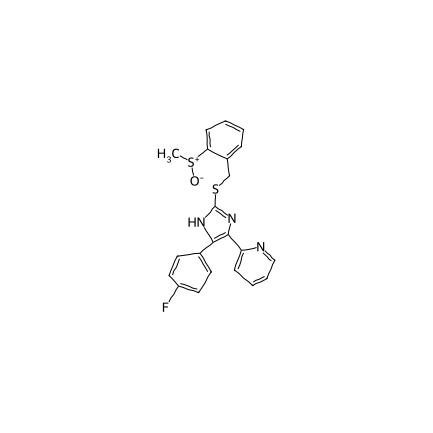 C[S+]([O-])c1ccccc1CSc1nc(-c2ccccn2)c(-c2ccc(F)cc2)[nH]1